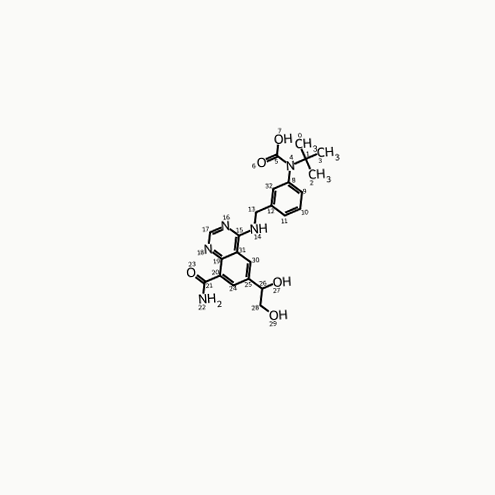 CC(C)(C)N(C(=O)O)c1cccc(CNc2ncnc3c(C(N)=O)cc(C(O)CO)cc23)c1